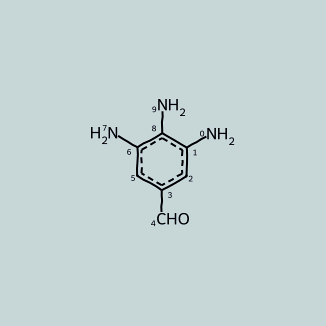 Nc1cc(C=O)cc(N)c1N